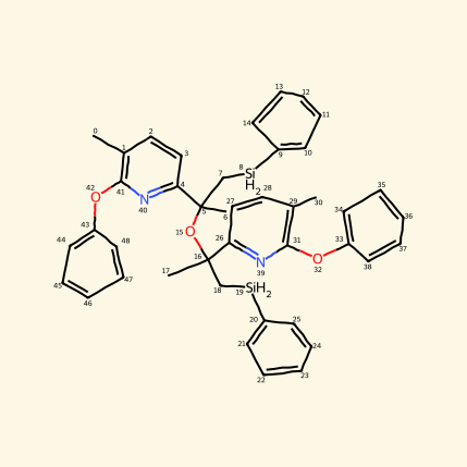 Cc1ccc(C(C)(C[SiH2]c2ccccc2)OC(C)(C[SiH2]c2ccccc2)c2ccc(C)c(Oc3ccccc3)n2)nc1Oc1ccccc1